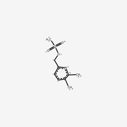 Cc1ccc(COS(C)(=O)=O)nc1C